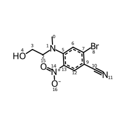 CN(CCO)c1cc(Br)c(C#N)cc1[N+](=O)[O-]